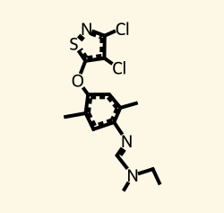 CCN(C)C=Nc1cc(C)c(Oc2snc(Cl)c2Cl)cc1C